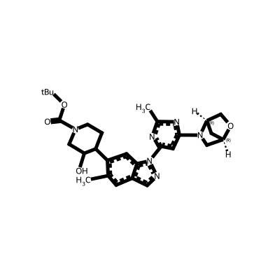 Cc1nc(N2C[C@H]3C[C@@H]2CO3)cc(-n2ncc3cc(C)c(C4CCN(C(=O)OC(C)(C)C)CC4O)cc32)n1